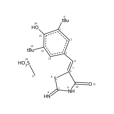 CC(C)(C)c1cc(/C=C2\SC(=N)NC2=O)cc(C(C)(C)C)c1O.CS(=O)(=O)O